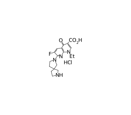 CCn1cc(C(=O)O)c(=O)c2cc(F)c(N3CCC4(CCNC4)C3)nc21.Cl